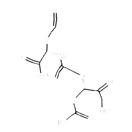 O=CS[C@H](NC(=O)N[C@@H](OC(=O)O)C(=O)O)C(=O)O